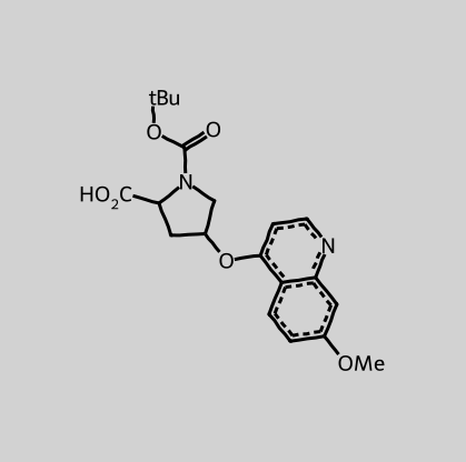 COc1ccc2c(OC3CC(C(=O)O)N(C(=O)OC(C)(C)C)C3)ccnc2c1